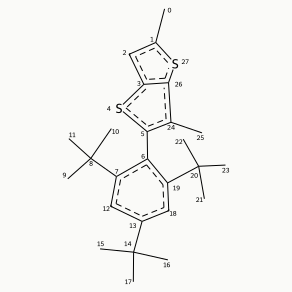 Cc1cc2sc(-c3c(C(C)(C)C)cc(C(C)(C)C)cc3C(C)(C)C)c(C)c2s1